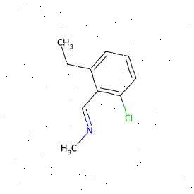 CCc1cccc(Cl)c1/C=N/C